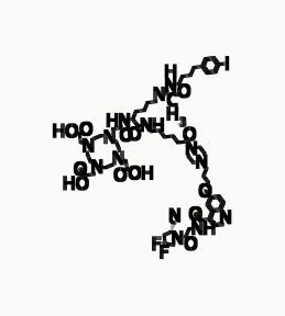 C/C(=N\CCCCC(NC(=O)CN1CCN(CC(=O)O)CCN(CC(=O)O)CCN(CC(=O)O)CC1)C(=O)NCCCCCC(=O)N1CCN(CCCOc2ccc3nccc(C(=O)NCC(=O)N4CC(F)(F)C[C@@H]4C#N)c3c2)CC1)NC(=O)CCCc1ccc(I)cc1